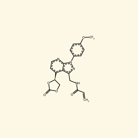 C=CC(=O)NCc1nn(-c2ccc(OC(F)(F)F)cc2)c2nccc([C@H]3COC(=O)O3)c12